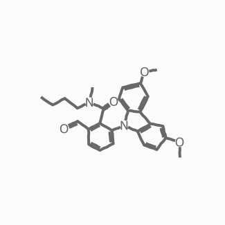 CCCCN(C)C(=O)c1c(C=O)cccc1-n1c2ccc(OC)cc2c2cc(OC)ccc21